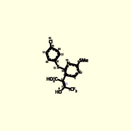 CSc1ncc(/C(C(=O)O)=C(/O)C(F)(F)F)c(Sc2ccc(Cl)cc2)n1